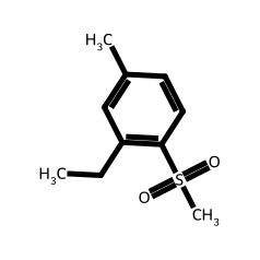 CCc1cc(C)ccc1S(C)(=O)=O